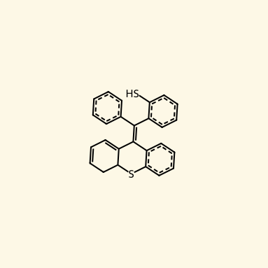 Sc1ccccc1/C(=C1/C2=CC=CCC2Sc2ccccc21)c1ccccc1